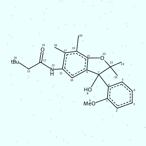 COc1ccccc1C1(O)c2cc(NC(=O)CC(C)(C)C)c(C)c(C)c2OC1(C)C